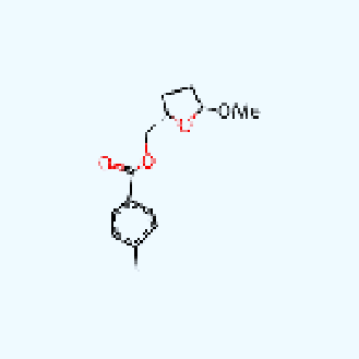 COC1CC[C@@H](COC(=O)c2ccc(C)cc2)O1